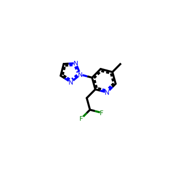 Cc1cnc(CC(F)F)c(-n2nccn2)c1